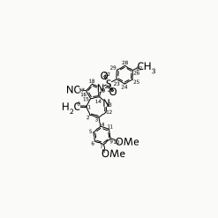 C=C1C=C(c2ccc(OC)c(OC)c2)C=Nc2c1c(C#N)cn2S(=O)(=O)c1ccc(C)cc1